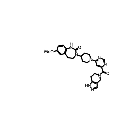 COc1ccc2c(c1)CCN(C1CCN(c3cc(C(=O)N4CCc5[nH]ncc5C4)ncn3)CC1)C(=O)N2